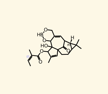 C/C=C(/C)C(=O)OC1C(C)=CC23CCC4[C@H](C(C=C5COBOC5C12O)C3=O)C4(C)C